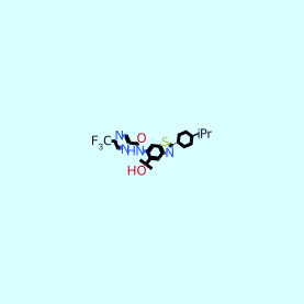 CC(C)[C@H]1CC[C@H](c2nc3cc(C(C)(C)O)c(NC(=O)c4cnc(C(F)(F)F)cn4)cc3s2)CC1